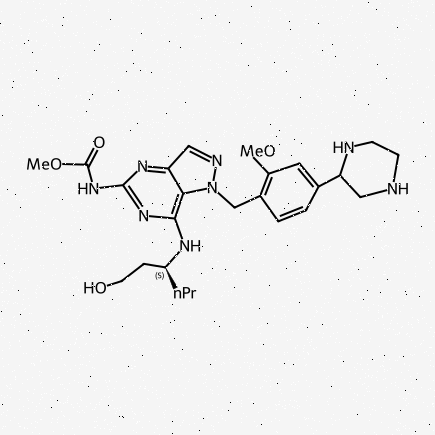 CCC[C@@H](CCO)Nc1nc(NC(=O)OC)nc2cnn(Cc3ccc(C4CNCCN4)cc3OC)c12